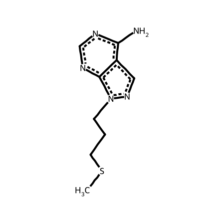 CSCCCn1ncc2c(N)ncnc21